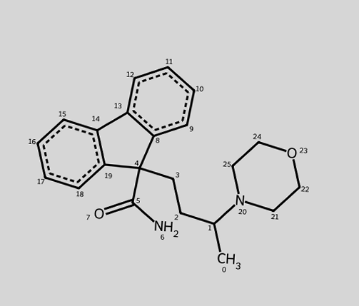 CC(CCC1(C(N)=O)c2ccccc2-c2ccccc21)N1CCOCC1